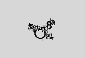 CC[C@@H]1C[C@H](C)CC/C=C\C2C[C@@]2(C(=O)NS(=O)(=O)C2(C)CC2)NC(=O)[C@@H]2C[C@@H](Oc3nccc4c5c(ccc34)N(C)CCO5)CN2C(=O)[C@H]1NC(=O)OC(C)(C)C